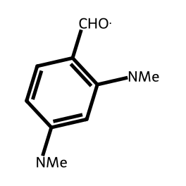 CNc1ccc([C]=O)c(NC)c1